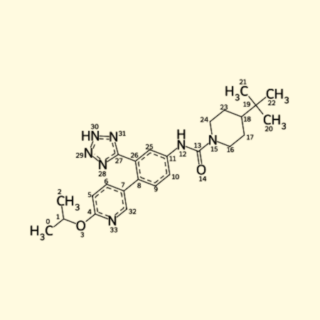 CC(C)Oc1ccc(-c2ccc(NC(=O)N3CCC(C(C)(C)C)CC3)cc2-c2nn[nH]n2)cn1